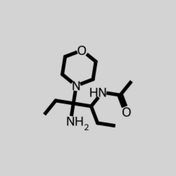 CCC(NC(C)=O)C(N)(CC)N1CCOCC1